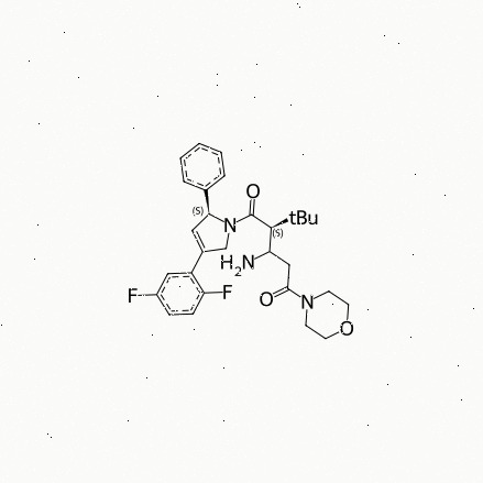 CC(C)(C)[C@H](C(=O)N1CC(c2cc(F)ccc2F)=C[C@H]1c1ccccc1)C(N)CC(=O)N1CCOCC1